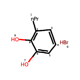 Br.CCCc1cccc(O)c1O